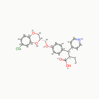 CCC(C(=O)O)C(c1ccncc1)c1ccc(OC[C@H]2COc3ccc(Cl)cc3O2)cc1